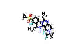 Cc1nc2c(c(NC(C)c3cccc(S(=O)(=O)C4CC4)c3F)n1)CN(C1(C(F)F)CC1)C=C2